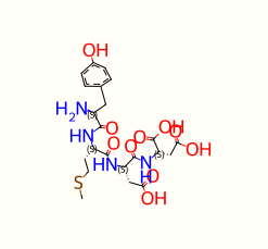 CSCC[C@H](NC(=O)[C@@H](N)Cc1ccc(O)cc1)C(=O)N[C@@H](CC(=O)O)C(=O)N[C@@H](CC(=O)O)C(=O)O